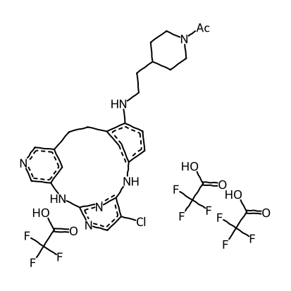 CC(=O)N1CCC(CCNc2ccc3cc2CCc2cncc(c2)Nc2ncc(Cl)c(n2)N3)CC1.O=C(O)C(F)(F)F.O=C(O)C(F)(F)F.O=C(O)C(F)(F)F